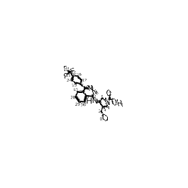 COC[C@@H]1CN(C(=O)O)C[C@H]1Nc1nnc(-c2ccc(C(F)(F)F)cc2)c2ccccc12